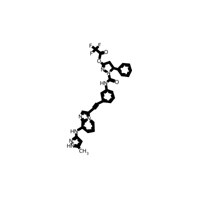 Cc1cc(Nc2cccn3c(C#Cc4cccc(NC(=O)N5N=C(OC(=O)C(F)(F)F)CC5c5ccccc5)c4)cnc23)n[nH]1